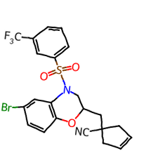 N#CC1(CC2CN(S(=O)(=O)c3cccc(C(F)(F)F)c3)c3cc(Br)ccc3O2)CC=CC1